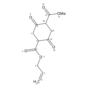 C=CCOC(=O)C1CC(=O)C(C(=O)OC)CC1=O